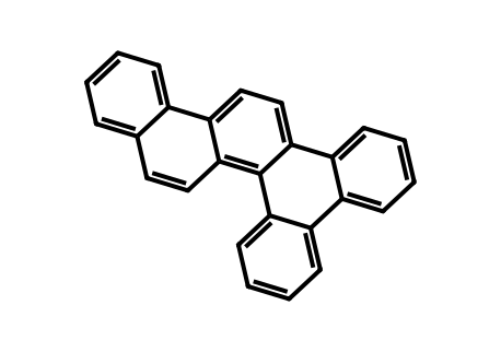 c1ccc2c(c1)ccc1c2ccc2c3ccccc3c3ccccc3c12